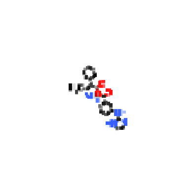 CC(N)=C(C(=O)OC(=O)c1cccc(NC2=NCCN2)c1)c1ccccc1